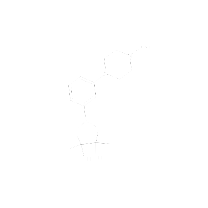 CC(C)(C)N1CCN(c2cccc(B3OC(C)(C)C(C)(C)O3)c2)CC1